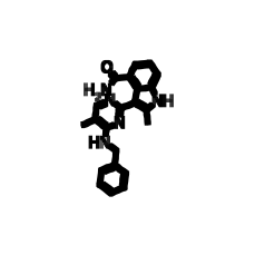 Cc1cnc(-c2c(C)[nH]c3cccc(C(N)=O)c23)nc1NCc1ccccc1